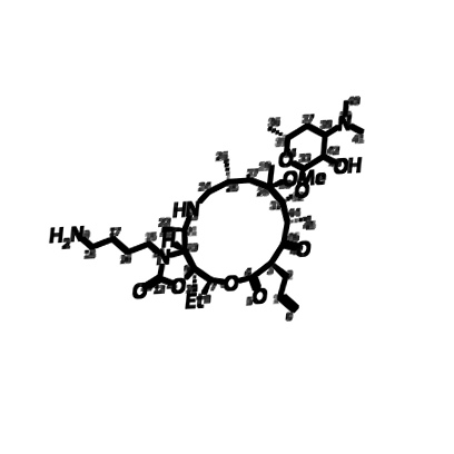 C=CC[C@H]1C(=O)O[C@@H](CC)[C@@]2(C)OC(=O)N(CCCCN)[C@@H]2[C@@H](C)NC[C@H](C)C[C@@](C)(OC)[C@H](O[C@@H]2O[C@H](C)CC(N(C)C)C2O)[C@H](C)C1=O